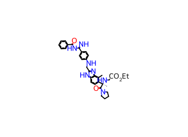 CCOC(=O)CN[C@@](C)(C(=O)N1CCCC1)c1ccc2[nH]c(CNc3ccc(C(=N)NC(=O)c4ccccc4)cc3)nc2c1C